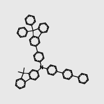 CC1(C)c2ccccc2-c2ccc(N(c3ccc(-c4ccc(-c5ccccc5)cc4)cc3)c3ccc(-c4ccc5c(c4)-c4ccccc4C5(c4ccccc4)c4ccccc4)cc3)cc21